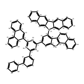 c1ccc(-c2cccc(-c3nc(-c4cc(-n5c6cc7ccccc7cc6c6cc7ccccc7cc65)c5c(c4)sc4c6ccccc6ccc45)nc(-c4cc5ccccc5c5ccccc45)n3)c2)cc1